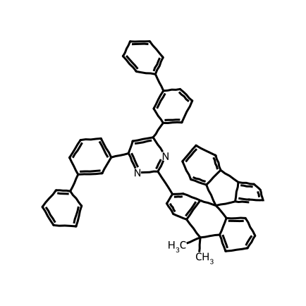 CC1(C)c2ccccc2C2(c3ccccc3-c3ccccc32)c2cc(-c3nc(-c4cccc(-c5ccccc5)c4)cc(-c4cccc(-c5ccccc5)c4)n3)ccc21